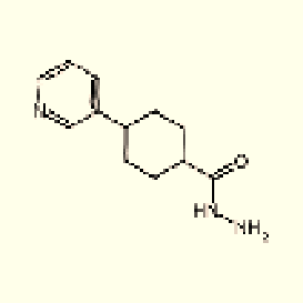 NNC(=O)C1CCC(c2cccnc2)CC1